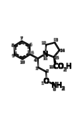 NOCCC(c1ccccc1)N1CCC[C@H]1C(=O)O